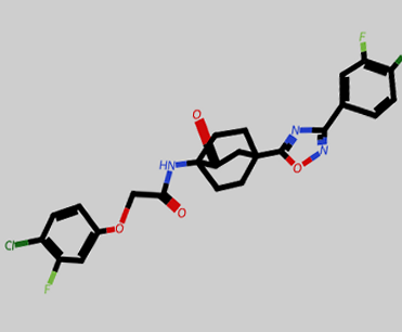 O=C(COc1ccc(Cl)c(F)c1)NC12CCC(c3nc(-c4ccc(Cl)c(F)c4)no3)(CC1)CC2=O